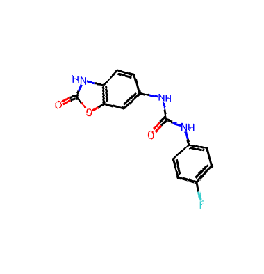 O=C(Nc1ccc(F)cc1)Nc1ccc2[nH]c(=O)oc2c1